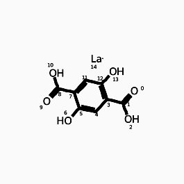 O=C(O)c1cc(O)c(C(=O)O)cc1O.[La]